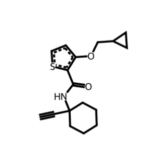 C#CC1(NC(=O)c2sccc2OCC2CC2)CCCCC1